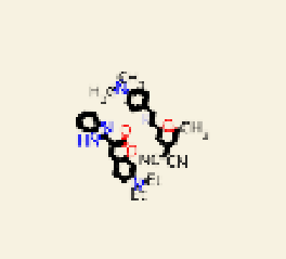 CC1=CC(=C(C#N)C#N)C=C(/C=C/c2ccc(N(C)C)cc2)O1.CCN(CC)c1ccc2cc(-c3nc4ccccc4[nH]3)c(=O)oc2c1